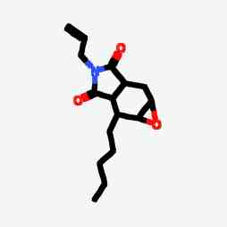 C=CCN1C(=O)C2CC3OC3C(CCCCC)C2C1=O